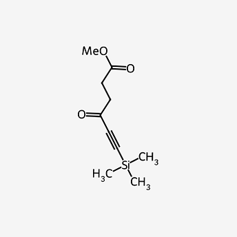 COC(=O)CCC(=O)C#C[Si](C)(C)C